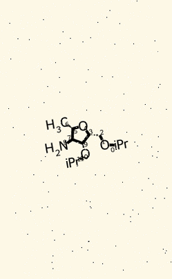 CC(C)OC[C@H]1O[C@@H](C)C(N)[C@H]1OC(C)C